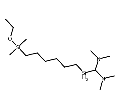 CCO[Si](C)(C)CCCCCC[SiH2]C(N(C)C)N(C)C